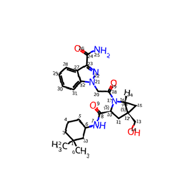 CC1(C)CCCC(NC(=O)[C@@H]2C[C@@]3(CO)C[C@H]3N2C(=O)Cn2nc(C(N)=O)c3ccccc32)C1